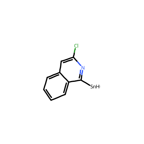 Clc1cc2ccccc2[c]([SnH])n1